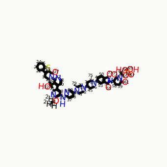 [2H]C([2H])([2H])Oc1ncc(-c2ccnc(N3CCc4c(sc5c4CCCC5)C3=O)c2C(C)(C)O)cc1Nc1ccc(N2CCN(C3CCN(c4ccc5c(c4)C(=O)N([C@H]4CCC(=O)N(C(C)OP(=O)(O)O)C4=O)C5=O)[C@@H](C)C3)C[C@@H]2C)cn1